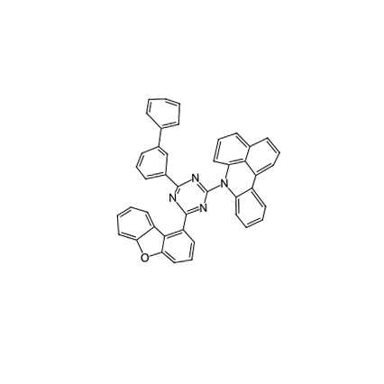 c1ccc(-c2cccc(-c3nc(-c4cccc5oc6ccccc6c45)nc(N4c5ccccc5-c5cccc6cccc4c56)n3)c2)cc1